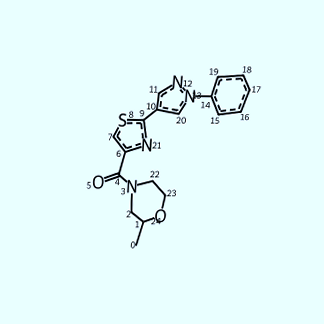 CC1CN(C(=O)c2csc(-c3cnn(-c4ccccc4)c3)n2)CCO1